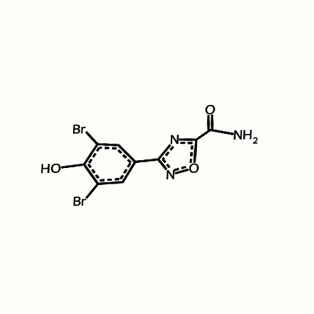 NC(=O)c1nc(-c2cc(Br)c(O)c(Br)c2)no1